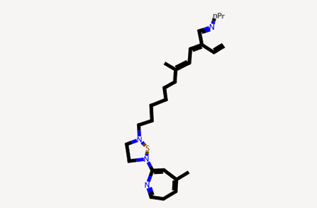 C=CC(/C=N/CCC)=C\C=C(/C)CCCCCCN1CCN(C2=CC(C)=CCC=N2)S1